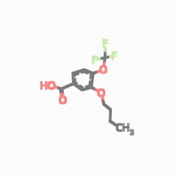 CCCCOc1cc(C(=O)O)ccc1OC(F)(F)F